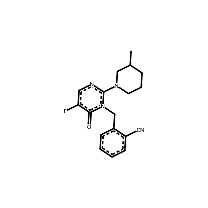 CC1CCCN(c2ncc(F)c(=O)n2Cc2ccccc2C#N)C1